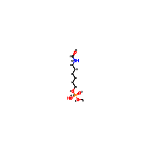 COP(=O)(O)OCCCCCCNC=O